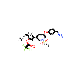 C=C(/C=C(\C=C/C)OC(=O)C(F)(F)F)[C@H]1C[C@@H](Oc2ccc(CN)cc2)CN(S(C)(=O)=O)C1